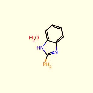 O.Pc1nc2ccccc2[nH]1